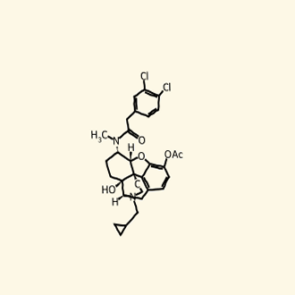 CC(=O)Oc1ccc2c3c1O[C@H]1[C@@H](N(C)C(=O)Cc4ccc(Cl)c(Cl)c4)CC[C@@]4(O)[C@@H](C2)N(CC2CC2)CC[C@]314